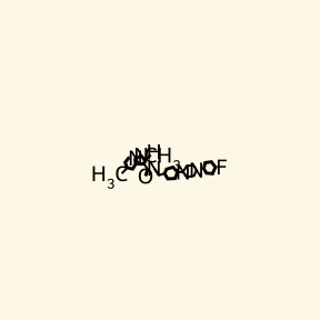 Cc1ccn2nc(C)c(C(=O)NCc3ccc(N4CCN(c5ccc(F)cc5)CC4)cc3)c2c1